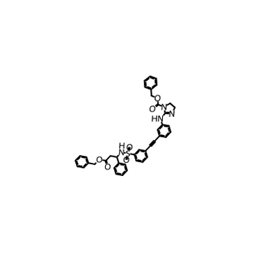 O=C(CC(NS(=O)(=O)c1cccc(C#Cc2cccc(NC3=NCCN3C(=O)OCc3ccccc3)c2)c1)c1ccccc1)OCc1ccccc1